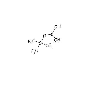 OB(O)O[Si](C(F)(F)F)(C(F)(F)F)C(F)(F)F